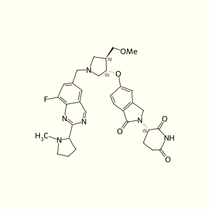 COC[C@@H]1CN(Cc2cc(F)c3nc(C4CCCN4C)ncc3c2)C[C@H]1Oc1ccc2c(c1)CN([C@H]1CCC(=O)NC1=O)C2=O